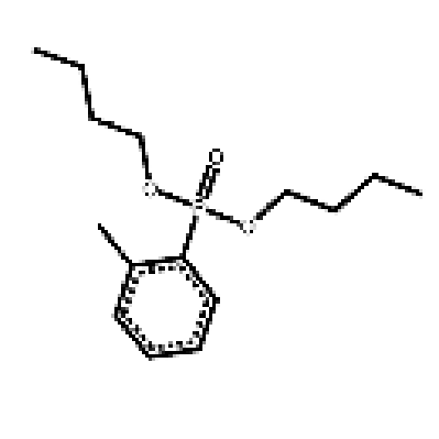 CCCCOP(=O)(OCCCC)c1ccccc1C